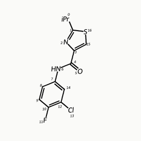 CC(C)c1nc(C(=O)Nc2ccc(F)c(Cl)c2)cs1